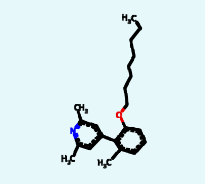 CCCCCCCCOc1cccc(C)c1-c1cc(C)nc(C)c1